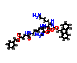 NCCCC[C@H](NC(=O)OCC1c2ccccc2-c2ccccc21)C(=O)N[C@@H](CCCCNC(=O)CCC(=O)OCc1ccccc1)C(N)=O